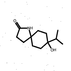 CC(C)C1(O)CCC2(CCC(=O)N2)CC1